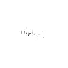 CC(C)COc1cccc(C(=O)N[C@H]2CO[C@H]3[C@@H]2OC[C@@H]3NC(=O)C2CC2)c1